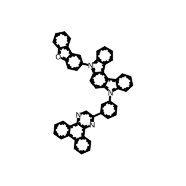 c1cc(-c2cnc3c4ccccc4c4ccccc4c3n2)cc(-n2c3ccccc3c3c4c5ccccc5n(-c5ccc6oc7ccccc7c6c5)c4ccc32)c1